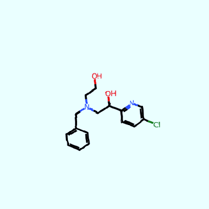 OCCN(Cc1ccccc1)CC(O)c1ccc(Cl)cn1